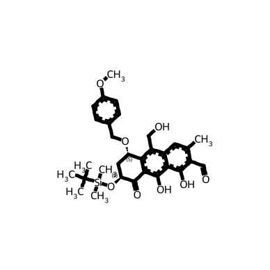 COc1ccc(CO[C@H]2C[C@H](O[Si](C)(C)C(C)(C)C)C(=O)c3c2c(CO)c2cc(C)c(C=O)c(O)c2c3O)cc1